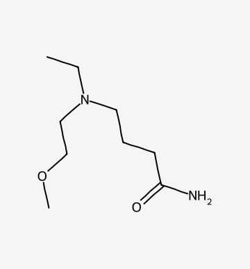 CCN(CCCC(N)=O)CCOC